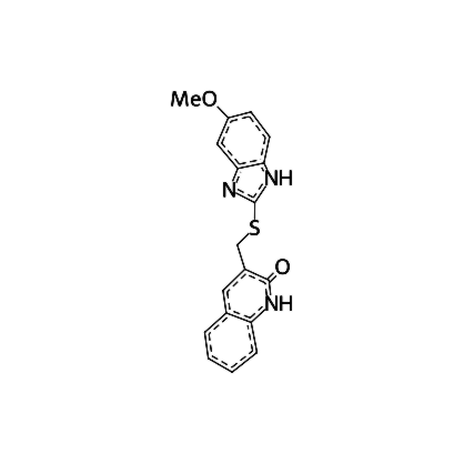 COc1ccc2[nH]c(SCc3cc4ccccc4[nH]c3=O)nc2c1